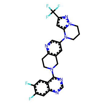 Fc1cc2ncnc(N3CCc4ncc(N5CCCn6nc(C(F)(F)F)cc65)cc4C3)c2cc1F